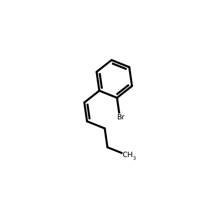 CCC/C=C\c1ccccc1Br